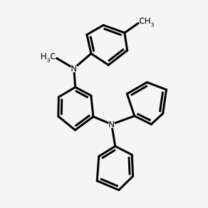 Cc1ccc(N(C)c2cccc(N(c3ccccc3)c3ccccc3)c2)cc1